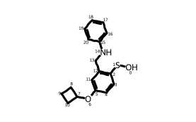 OSc1ccc(OC2CCC2)cc1CNc1ccccc1